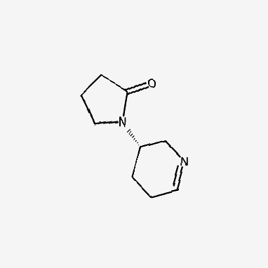 O=C1CCCN1[C@H]1CCC=NC1